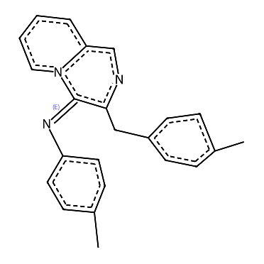 Cc1ccc(Cc2ncc3ccccn3/c2=N/c2ccc(C)cc2)cc1